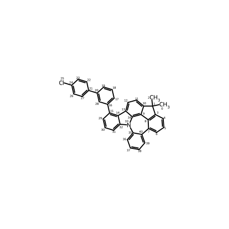 CC1(C)c2cccc3c2-c2c1ccc1c4c(-c5cccc(-c6ccc(Cl)cc6)c5)cccc4n(c21)-c1ccccc1-3